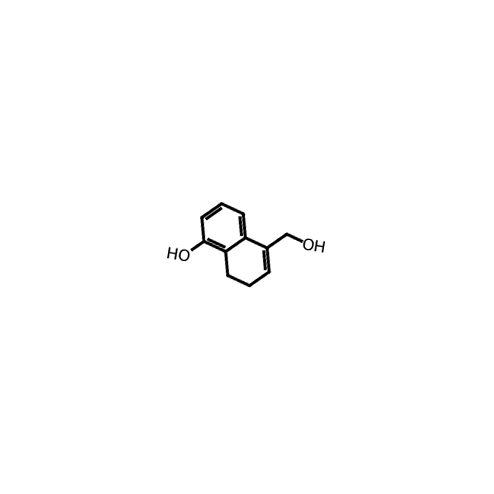 OCC1=CCCc2c(O)cccc21